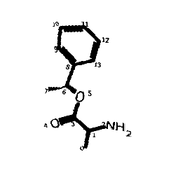 CC(N)C(=O)O[C@@H](C)c1ccccc1